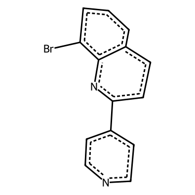 Brc1cccc2ccc(-c3ccncc3)nc12